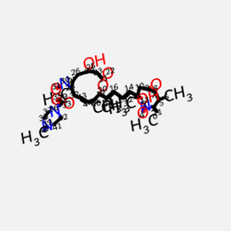 CCC(N=O)C(C)C1OC1CC(C)(O)/C=C/C=C(\C)C1OC(=O)CC(O)CCC(C)(N=O)C(OC(=O)N2CCN(C)CC2)/C=C/C1C